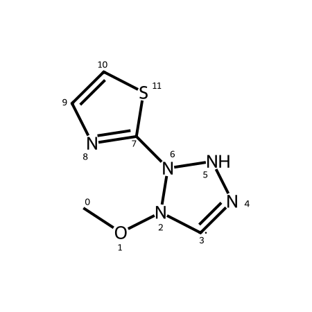 CON1[C]=NNN1c1nccs1